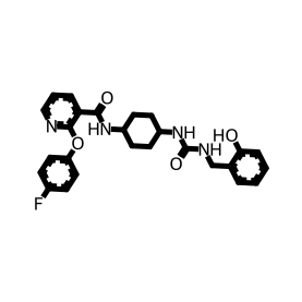 O=C(NCc1ccccc1O)NC1CCC(NC(=O)c2cccnc2Oc2ccc(F)cc2)CC1